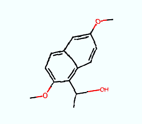 COc1ccc2c(C(C)O)c(OC)ccc2c1